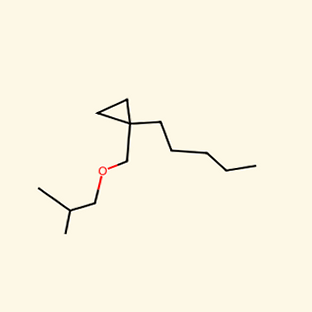 CCCCCC1(COCC(C)C)CC1